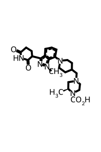 C[C@H]1CN(CC2CCN(c3cccc4c(C5CCC(=O)NC5=O)nn(C)c34)CC2)CCN1C(=O)O